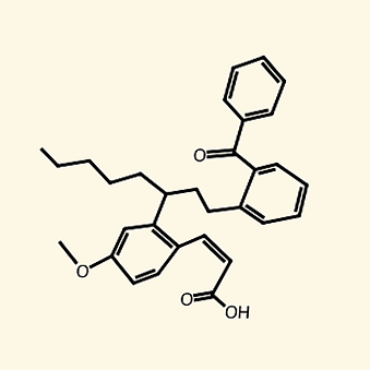 CCCCCC(CCc1ccccc1C(=O)c1ccccc1)c1cc(OC)ccc1C=CC(=O)O